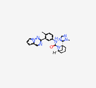 Cc1ccc(NC(=O)N2[C@@H]3CCC[C@@]2(c2ncnn2C)C3)cc1-c1ncc2cccn2n1